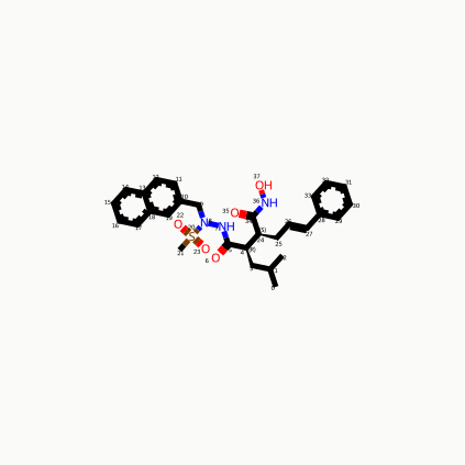 CC(C)C[C@@H](C(=O)NN(Cc1ccc2ccccc2c1)S(C)(=O)=O)[C@H](CC=Cc1ccccc1)C(=O)NO